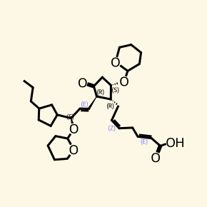 CCCC1CCC([C@@H](/C=C/[C@H]2C(=O)C[C@H](OC3CCCCO3)[C@@H]2C/C=C\C/C=C/C(=O)O)OC2CCCCO2)C1